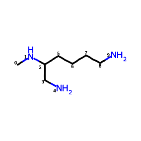 CNC(CN)CCCCN